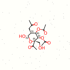 CC(=O)C[C@H]1[C@@H](OC(C)=O)[C@@H](OC(C)=O)[C@](CO)(C(C)=O)O[C@@H]1O